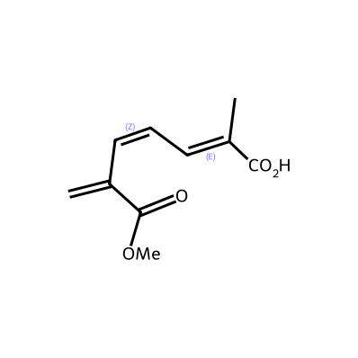 C=C(/C=C\C=C(/C)C(=O)O)C(=O)OC